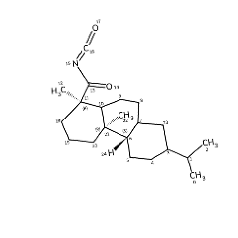 CC(C)C1CC[C@H]2C(CCC3[C@](C)(C(=O)N=C=O)CCC[C@@]32C)C1